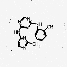 Cc1nccc(Nc2cc(Nc3ccccc3C#N)ncn2)n1